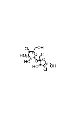 OC[C@H]1O[C@H](O[C@]2(CCl)O[C@H](CO)[C@@H](Cl)[C@@H]2O)[C@H](O)[C@@H](O)[C@H]1Cl